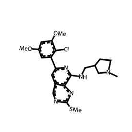 COc1cc(OC)c(Cl)c(-c2cc3cnc(SC)nc3c(NCC3CCN(C)C3)n2)c1